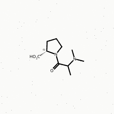 CC(C(=O)N1CCC[C@H]1C(=O)O)N(C)C